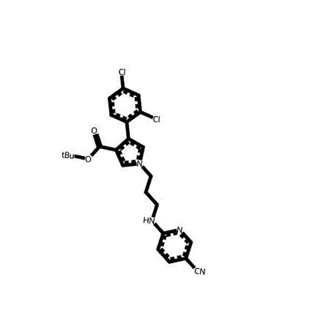 CC(C)(C)OC(=O)c1cn(CCCNc2ccc(C#N)cn2)cc1-c1ccc(Cl)cc1Cl